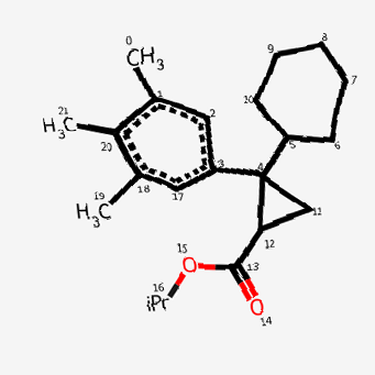 Cc1cc(C2(C3CCCCC3)CC2C(=O)OC(C)C)cc(C)c1C